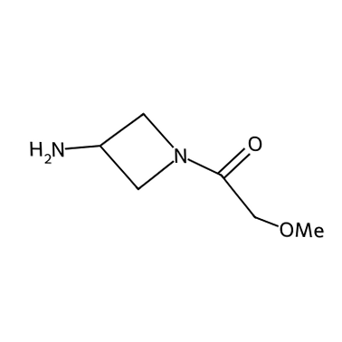 COCC(=O)N1CC(N)C1